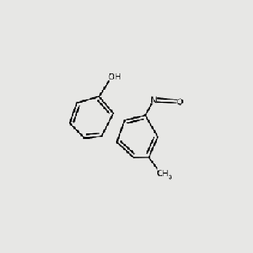 Cc1cccc(N=O)c1.Oc1ccccc1